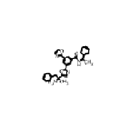 C[C@@H](NC(=O)c1cc(-c2ncco2)cc(-c2nnc(C(C)(N)Cc3ccccc3)o2)c1)c1ccccc1